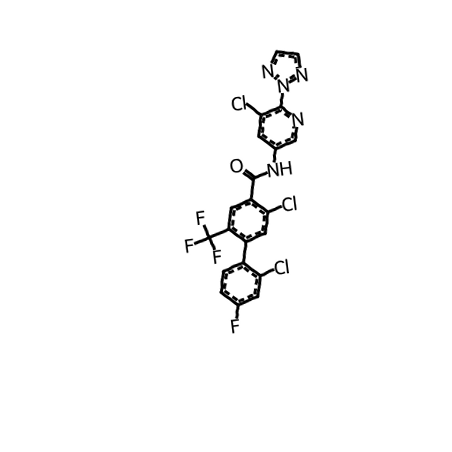 O=C(Nc1cnc(-n2nccn2)c(Cl)c1)c1cc(C(F)(F)F)c(-c2ccc(F)cc2Cl)cc1Cl